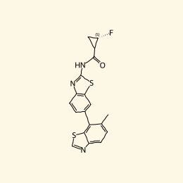 Cc1ccc2ncsc2c1-c1ccc2nc(NC(=O)C3C[C@@H]3F)sc2c1